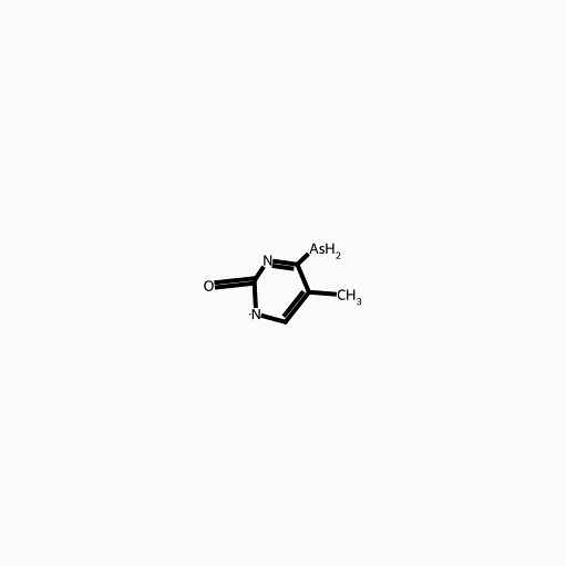 CC1=C[N]C(=O)N=C1[AsH2]